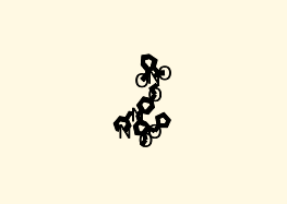 COc1ccc(N(Cc2cccnc2)c2ccc(OCCN3C(=O)c4ccccc4C3=O)cc2)cc1OC1CCCC1